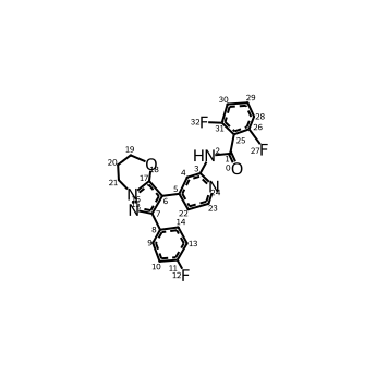 O=C(Nc1cc(-c2c(-c3ccc(F)cc3)nn3c2OCCC3)ccn1)c1c(F)cccc1F